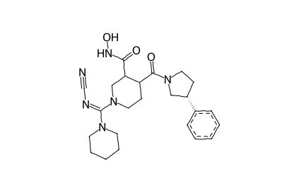 N#CN=C(N1CCCCC1)N1CCC(C(=O)N2CC[C@H](c3ccccc3)C2)C(C(=O)NO)C1